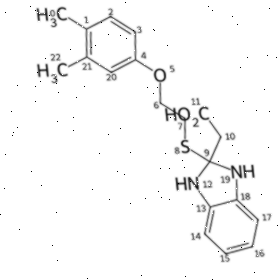 Cc1ccc(OCCSC2(CC(=O)O)Nc3ccccc3N2)cc1C